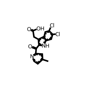 Cc1ccnc(C(=O)c2[nH]c3cc(Cl)c(Cl)cc3c2CC(=O)O)c1